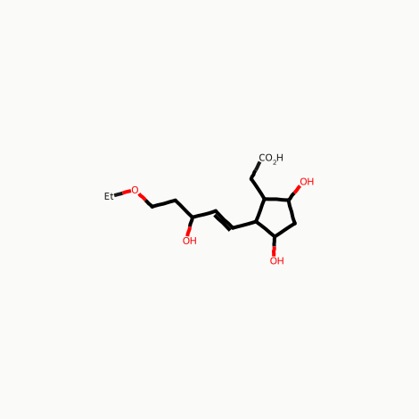 CCOCCC(O)C=CC1C(O)CC(O)C1CC(=O)O